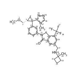 COC[C@@H]1CC1(c1cccc(N2Cc3c(cc(CNC4(C)CCC4)cc3C(F)(F)F)C2=O)c1)c1nncn1C